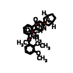 COc1cccc(C(=O)N[C@H]2C[C@H]3CC[C@@H](C2)N3c2ccc(C(=O)NCc3cccc(OC)c3OC)cn2)c1C